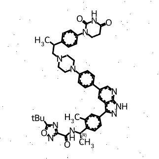 Cc1cc(-c2n[nH]c3ncc(-c4ccc(N5CCN(CC(C)c6ccc(N7CCC(=O)NC7=O)cc6)CC5)cc4)cc23)ccc1[C@@H](C)NC(=O)c1noc(C(C)(C)C)n1